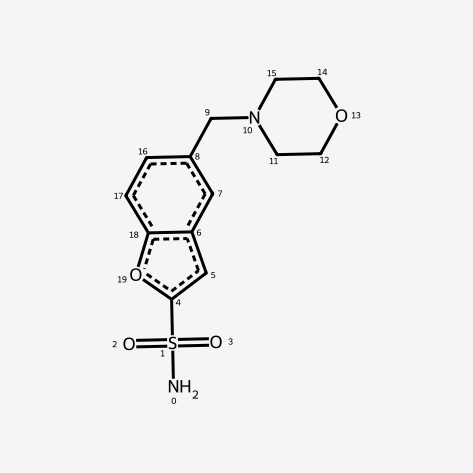 NS(=O)(=O)c1cc2cc(CN3CCOCC3)ccc2o1